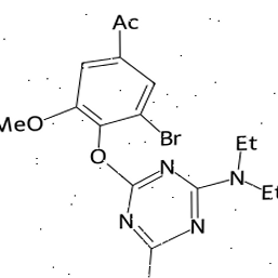 CCN(CC)c1nc(C)nc(Oc2c(Br)cc(C(C)=O)cc2OC)n1